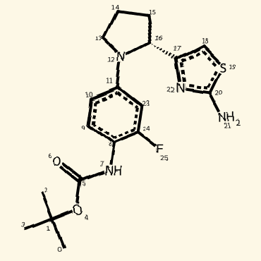 CC(C)(C)OC(=O)Nc1ccc(N2CCC[C@@H]2c2csc(N)n2)cc1F